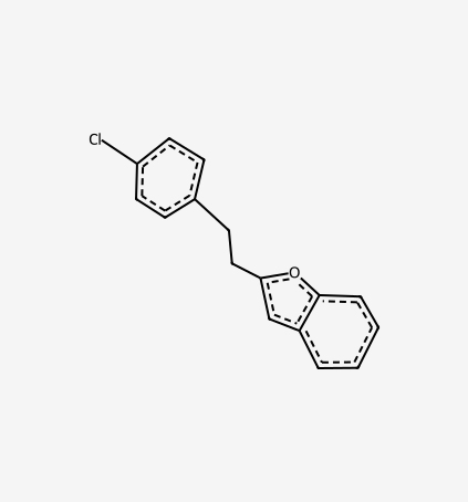 Clc1ccc(CCc2cc3ccccc3o2)cc1